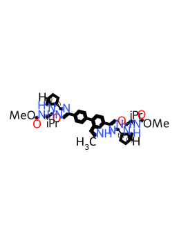 COC(=O)N[C@H](C(=O)N1C[C@@H]2CC[C@@]1(c1nc(-c3ccc(-c4ccc(-c5c[nH]c([C@@]67CC[C@@H](CN6C(=O)[C@@H](NC(=O)OC)C(C)C)C7)n5)c5[nH]c(C)cc45)cc3)c[nH]1)C2)C(C)C